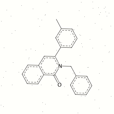 Cc1cccc(-c2cc3ccccc3c(=O)n2Cc2ccccc2)c1